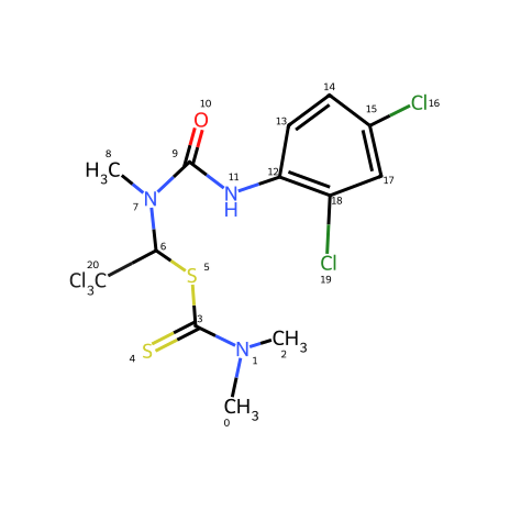 CN(C)C(=S)SC(N(C)C(=O)Nc1ccc(Cl)cc1Cl)C(Cl)(Cl)Cl